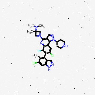 Cc1c(Cl)cc2[nH]ncc2c1-c1c(Cl)cc2c(nc(N3CC(C)(N(C)C)C3)c3cnn(C4CCNCC4)c32)c1F